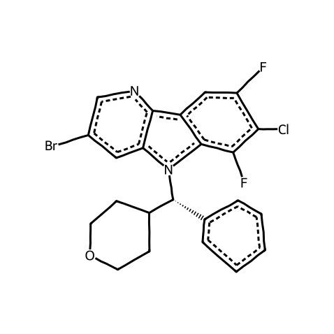 Fc1cc2c3ncc(Br)cc3n([C@H](c3ccccc3)C3CCOCC3)c2c(F)c1Cl